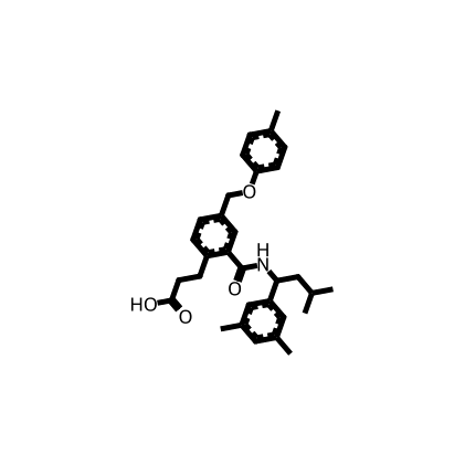 Cc1ccc(OCc2ccc(CCC(=O)O)c(C(=O)NC(CC(C)C)c3cc(C)cc(C)c3)c2)cc1